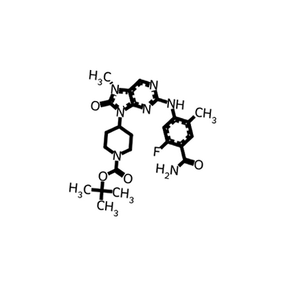 Cc1cc(C(N)=O)c(F)cc1Nc1ncc2c(n1)n(C1CCN(C(=O)OC(C)(C)C)CC1)c(=O)n2C